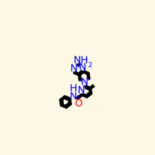 Cc1ccc(C(=O)Nc2ccccc2)nc1N1CCc2nc(N)ncc2C1